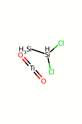 [O]=[Ti]=[O].[SiH3][SiH](Cl)Cl